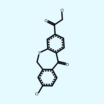 O=C(CCl)c1ccc2c(c1)SCc1cc(Cl)ccc1C2=O